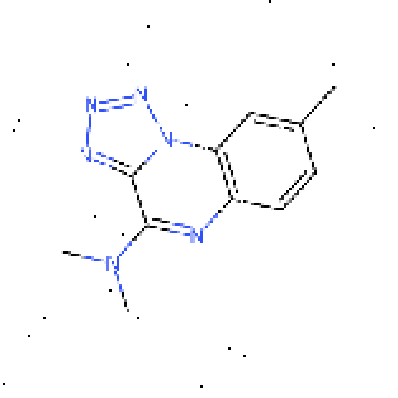 Cc1ccc2nc(N(C)C)c3nnnn3c2c1